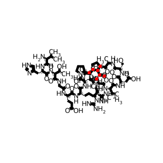 CC(C)C[C@H](NC(=O)[C@H](CCCNC(=N)N)NC(=O)[C@H](CCC(=O)O)NC(=O)CNC(=O)[C@@H](NC(=O)[C@H](Cc1c[nH]cn1)NC(=O)[C@@H](N)C(C)C)[C@@H](C)O)C(=O)N1CCC[C@H]1C(=O)N1CCC[C@H]1C(=O)N[C@@H](CCCNC(=N)N)C(=O)N[C@H](C(=O)N[C@@H](CC(=O)O)C(=O)N[C@@H](CO)C(=O)N[C@@H](C)C(=O)N[C@@H](CCC(N)=O)C(=O)O)C(C)C